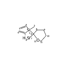 C=C[Si](C)(C=C)C1([SiH3])CCCCO1